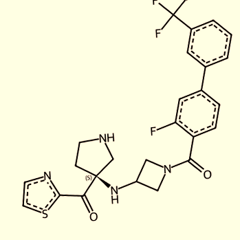 O=C(c1ccc(-c2cccc(C(F)(F)F)c2)cc1F)N1CC(N[C@@]2(C(=O)c3nccs3)CCNC2)C1